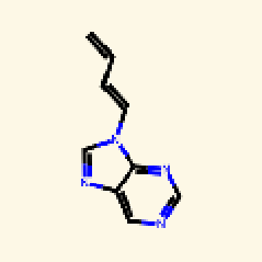 C=CC=Cn1cnc2cncnc21